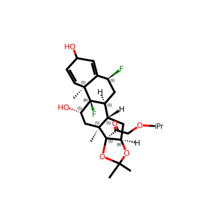 CC(C)OCC(=O)[C@@]12OC(C)(C)O[C@@H]1C[C@H]1[C@@H]3C[C@H](F)C4=CC(O)C=C[C@]4(C)[C@@]3(F)[C@@H](O)C[C@@]12C